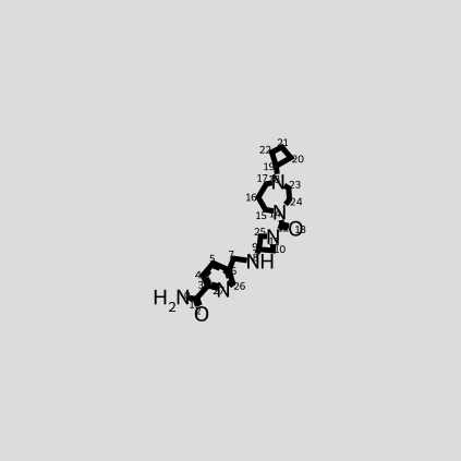 NC(=O)c1ccc(CNC2CN(C(=O)N3CCCN(C4CCC4)CC3)C2)cn1